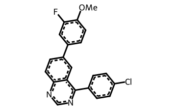 COc1ccc(-c2ccc3ncnc(-c4ccc(Cl)cc4)c3c2)cc1F